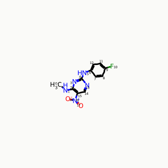 CNc1nc(Nc2ccc(F)cc2)ncc1[N+](=O)[O-]